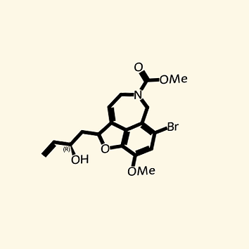 C=C[C@H](O)CC1Oc2c(OC)cc(Br)c3c2C1=CCN(C(=O)OC)C3